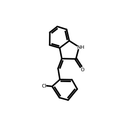 O=C1Nc2ccccc2/C1=C/c1ccccc1Cl